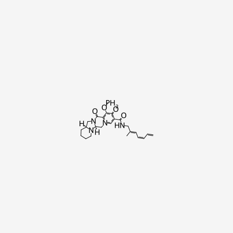 C=C/C=C\C=C(/C)CNC(=O)c1cn2c(c(OP)c1=O)C(=O)N1C[C@H]3CCCCN3[C@H]1C2